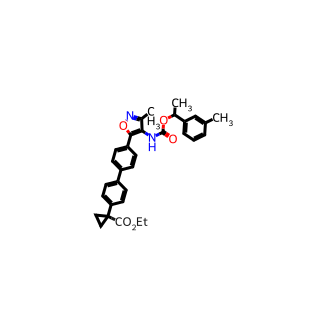 CCOC(=O)C1(c2ccc(-c3ccc(-c4onc(C)c4NC(=O)OC(C)c4cccc(C)c4)cc3)cc2)CC1